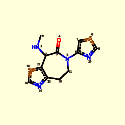 CNC1C(=O)N(c2cscn2)CCc2ncsc21